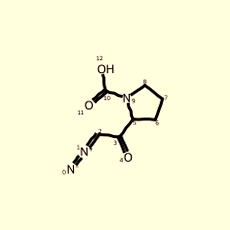 [N-]=[N+]=CC(=O)C1CCCN1C(=O)O